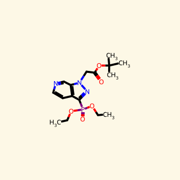 CCOP(=O)(OCC)c1nn(CC(=O)OC(C)(C)C)c2cnccc12